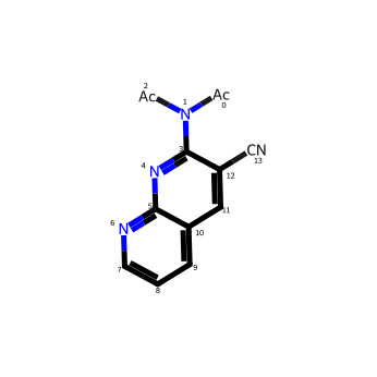 CC(=O)N(C(C)=O)c1nc2ncccc2cc1C#N